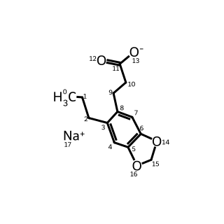 CCCc1cc2c(cc1CCC(=O)[O-])OCO2.[Na+]